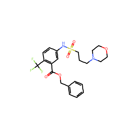 O=C(OCc1ccccc1)c1cc(NS(=O)(=O)CCCN2CCOCC2)ccc1C(F)(F)F